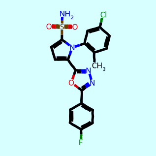 Cc1ccc(Cl)cc1-n1c(-c2nnc(-c3ccc(F)cc3)o2)ccc1S(N)(=O)=O